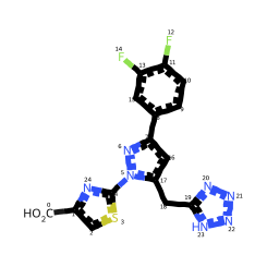 O=C(O)c1csc(-n2nc(-c3ccc(F)c(F)c3)cc2Cc2nnn[nH]2)n1